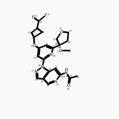 CO[C@@]1(c2cc(OC3CC(C(F)F)C3)cc(-n3ncc4cnc(NC(C)=O)cc43)n2)CCOC1